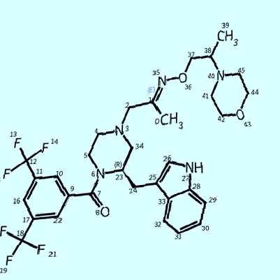 C/C(CN1CCN(C(=O)c2cc(C(F)(F)F)cc(C(F)(F)F)c2)[C@H](Cc2c[nH]c3ccccc23)C1)=N\OCC(C)N1CCOCC1